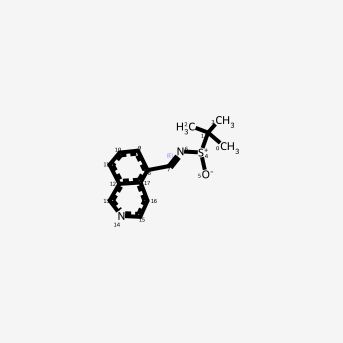 CC(C)(C)[S+]([O-])/N=C/c1cccc2cnccc12